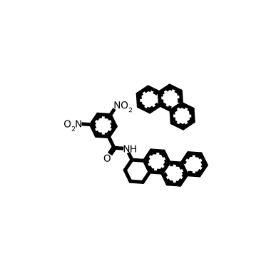 O=C(NC1CCCc2c1ccc1c2ccc2ccccc21)c1cc([N+](=O)[O-])cc([N+](=O)[O-])c1.c1ccc2c(c1)ccc1ccccc12